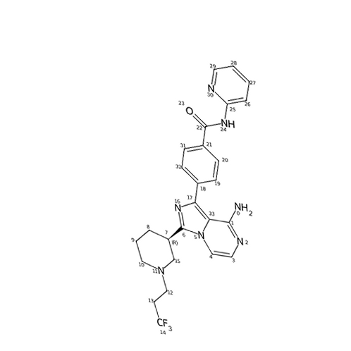 Nc1nccn2c([C@@H]3CCCN(CCC(F)(F)F)C3)nc(-c3ccc(C(=O)Nc4ccccn4)cc3)c12